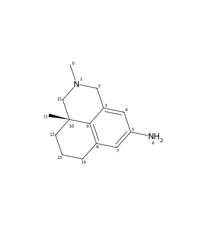 CN1Cc2cc(N)cc3c2[C@](C)(CCC3)C1